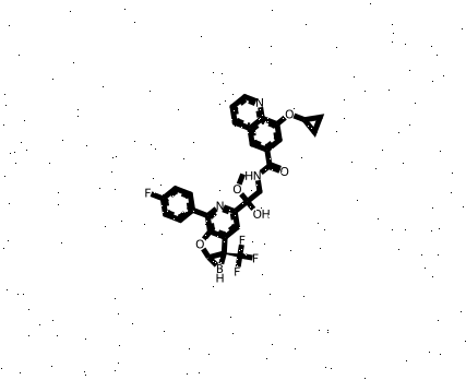 COC(O)(CNC(=O)c1cc(OC2CC2)c2ncccc2c1)c1cc2c(c(-c3ccc(F)cc3)n1)OC1B[C@@]21C(F)(F)F